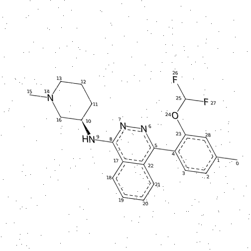 Cc1ccc(-c2nnc(N[C@@H]3CCCN(C)C3)c3ccccc23)c(OC(F)F)c1